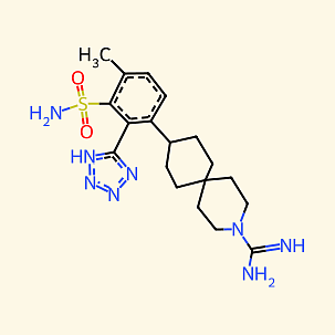 Cc1ccc(C2CCC3(CC2)CCN(C(=N)N)CC3)c(-c2nnn[nH]2)c1S(N)(=O)=O